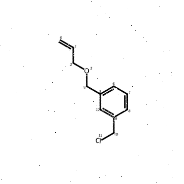 C=CCOCc1cccc(CCl)c1